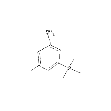 Cc1cc([SiH3])cc([Si](C)(C)C)c1